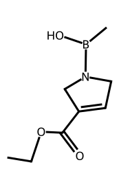 CCOC(=O)C1=CCN(B(C)O)C1